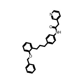 O=C(Cc1cccnc1)Nc1ccc(CCCc2ccccc2OCc2ccccc2)cc1